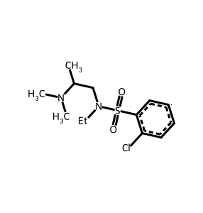 CCN(CC(C)N(C)C)S(=O)(=O)c1c[c]ccc1Cl